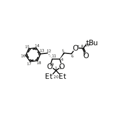 CCC1(CC)O[C@H](CCOC(=O)C(C)(C)C)[C@@H](Cc2ccccc2)O1